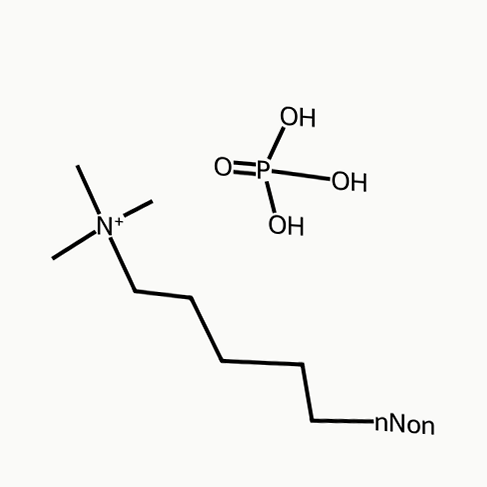 CCCCCCCCCCCCCC[N+](C)(C)C.O=P(O)(O)O